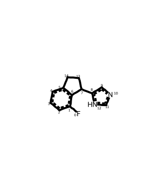 Fc1cccc2c1C(c1cnc[nH]1)CC2